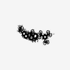 CC1(C)[C@@H](OC(=O)c2cc([N+](=O)[O-])cc([N+](=O)[O-])c2)CC[C@]2(C)[C@H]3C(=O)C=C4[C@@H]5C[C@](C)(B6OC(C)(C)C(C)(C)O6)CC[C@]5(C)CC[C@@]4(C)[C@]3(C)CC[C@@H]12